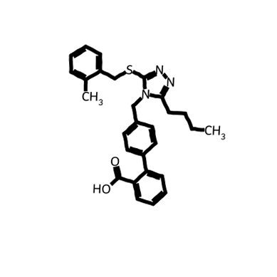 CCCCc1nnc(SCc2ccccc2C)n1Cc1ccc(-c2ccccc2C(=O)O)cc1